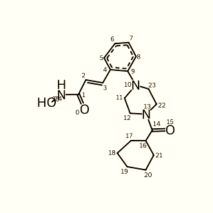 O=C(C=Cc1ccccc1N1CCN(C(=O)C2CCCCC2)CC1)NO